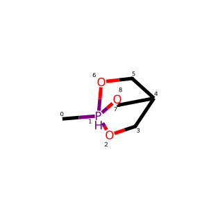 C[PH]12OCC(CO1)CO2